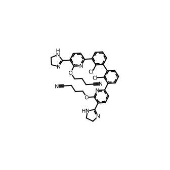 N#CCCCOc1nc(-c2cccc(-c3cccc(-c4ccc(C5=NCCN5)c(OCCCC#N)n4)c3Cl)c2Cl)ccc1C1=NCCN1